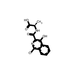 C[C@@H](NC(=O)c1nc(Cl)c2ccccc2c1O)C(=O)O